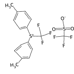 Cc1ccc([S+](c2ccc(C)cc2)C(F)(F)F)cc1.O=S(=O)([O-])C(F)(F)F